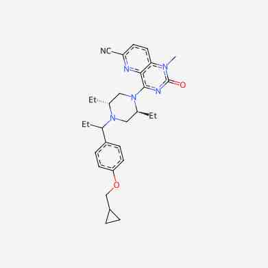 CCC(c1ccc(OCC2CC2)cc1)N1C[C@H](CC)N(c2nc(=O)n(C)c3ccc(C#N)nc23)C[C@H]1CC